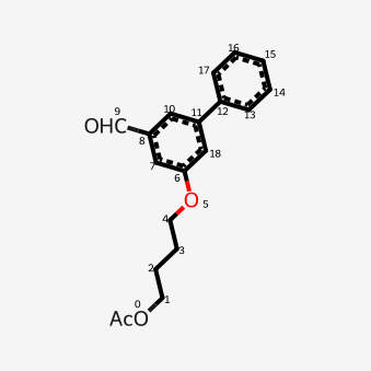 CC(=O)OCCCCOc1cc(C=O)cc(-c2ccccc2)c1